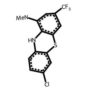 CNc1cc(C(F)(F)F)cc2c1Nc1ccc(Cl)cc1S2